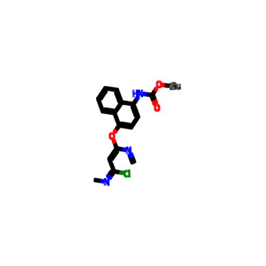 C=N/C(=C\C(Cl)=N/C)Oc1ccc(NC(=O)OC(C)(C)C)c2ccccc12